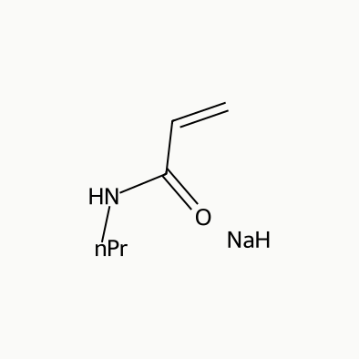 C=CC(=O)NCCC.[NaH]